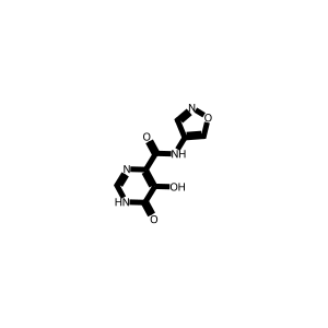 O=C(Nc1cnoc1)c1nc[nH]c(=O)c1O